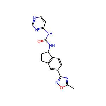 Cc1nc(-c2ccc3c(c2)CCC3NC(=O)Nc2ccncn2)no1